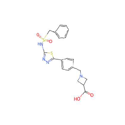 O=C(O)C1CN(Cc2ccc(-c3nnc(NS(=O)(=O)Cc4ccccc4)s3)cc2)C1